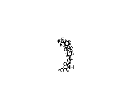 COCC(C)NC(=O)CON=C1CCN(S(=O)(=O)c2cccc(C(F)(F)F)c2)CC1